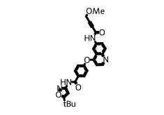 COCC#CC(=O)Nc1ccc2nccc(Oc3ccc(C(=O)Nc4cc(C(C)(C)C)on4)cc3)c2c1